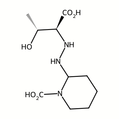 C[C@@H](O)[C@H](NNC1CCCCN1C(=O)O)C(=O)O